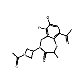 CC(=O)c1cc(Cl)c(F)c2c1OC(C)C(=O)N(C1CN(C(C)=O)C1)C2